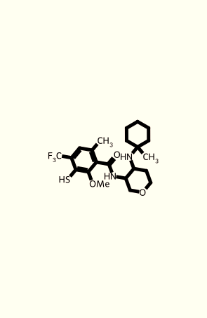 COc1c(S)c(C(F)(F)F)cc(C)c1C(=O)NC1COCCC1NC1(C)CCCCC1